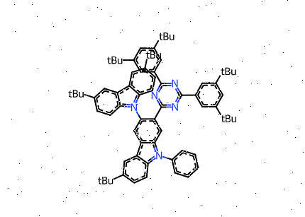 CC(C)(C)c1cc(-c2nc(-c3cc(C(C)(C)C)cc(C(C)(C)C)c3)nc(-c3cc4c(cc3-n3c5ccc(C(C)(C)C)cc5c5cc(C(C)(C)C)ccc53)c3cc(C(C)(C)C)ccc3n4-c3ccccc3)n2)cc(C(C)(C)C)c1